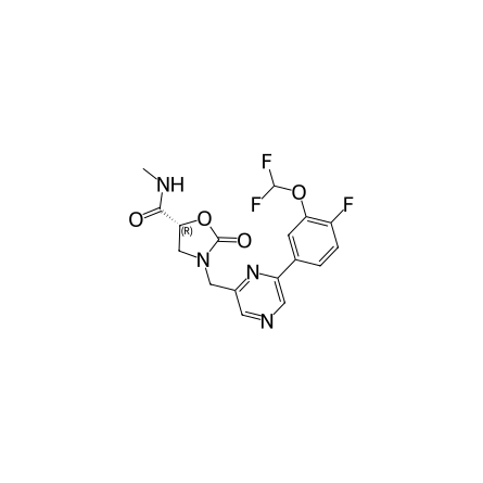 CNC(=O)[C@H]1CN(Cc2cncc(-c3ccc(F)c(OC(F)F)c3)n2)C(=O)O1